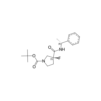 C[C@@H](NC(=O)[C@]1(F)CCN(C(=O)OC(C)(C)C)C1)c1ccccc1